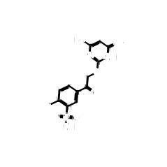 CC(C)(C)c1cc(=O)[nH]c(SCC(=O)c2ccc(Cl)c(S(N)(=O)=O)c2)n1